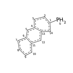 Pc1ccc2cc3ccccc3cc2c1